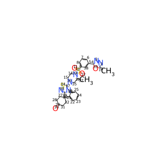 Cc1nnc(-c2cccc(S(=O)(=O)N3CCN(c4nc(C5(c6ccccc6)CCC(=O)CC5)ns4)CC3C)c2)o1